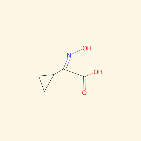 O=C(O)C(=NO)C1CC1